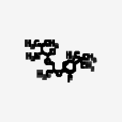 CC(C)[C@H](N)C(=O)OC[C@H](C)Oc1ccc(C(C)(C)C)cc1F